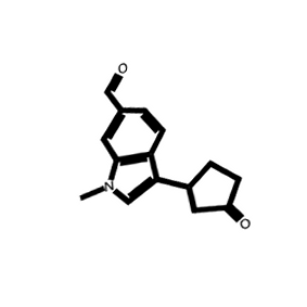 Cn1cc(C2CCC(=O)C2)c2ccc(C=O)cc21